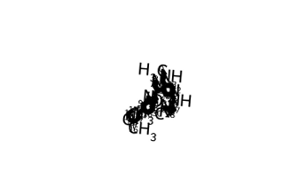 CNc1ncc(-c2nc3cc(N4CCO[C@@H](C)C4)ccc3o2)c2cc(Nc3ccn(C)n3)ncc12